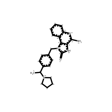 CC(c1ccc(Cn2c(=O)[nH]c3c(N)nc4ccccc4c32)cc1)N1CCCC1